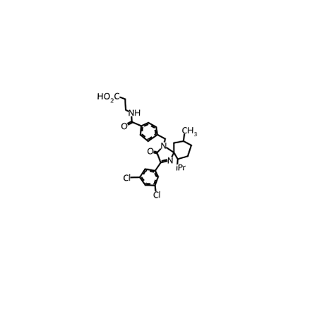 CC1CCC(C(C)C)C2(C1)N=C(c1cc(Cl)cc(Cl)c1)C(=O)N2Cc1ccc(C(=O)NCCC(=O)O)cc1